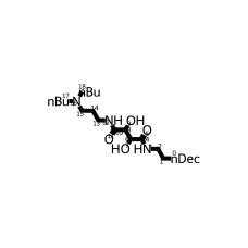 CCCCCCCCCCCCNC(=O)C(O)C(O)C(=O)NCCCN(CCCC)CCCC